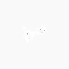 CC1NCCN(c2nc(C(C)(C)F)no2)C1C1CCC(COc2ccc(S(C)(=O)=O)cc2F)CC1